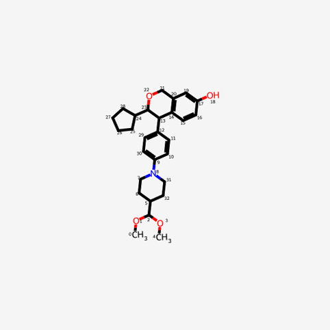 COC(OC)C1CCN(c2ccc(C3c4ccc(O)cc4COC3C3CCCC3)cc2)CC1